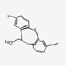 OC1Cc2ccc(F)cc2Sc2ccc(I)cc21